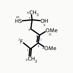 C=C(F)/C(OC)=C(\CC(C)(O)S)OC